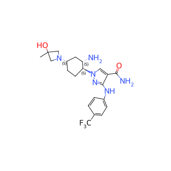 CC1(O)CN([C@H]2CC[C@H](n3cc(C(N)=O)c(Nc4ccc(C(F)(F)F)cc4)n3)[C@@H](N)C2)C1